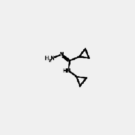 N/N=C(\NC1CC1)C1CC1